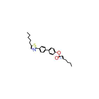 CCCC/C=C/C(=O)Oc1ccc(-c2ccc(-c3ncc(CCCCC)s3)cc2)cc1